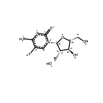 Cl.Nc1nc(=O)n([C@@H]2O[C@H](CO)[C@@H](O)[C@@H]2Br)cc1F